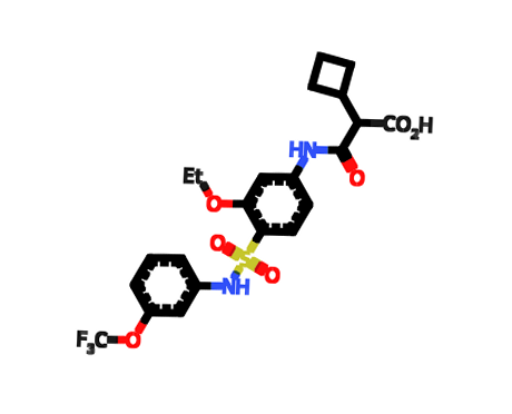 CCOc1cc(NC(=O)C(C(=O)O)C2CCC2)ccc1S(=O)(=O)Nc1cccc(OC(F)(F)F)c1